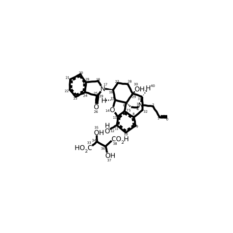 C=CCN1CC[C@]23c4c5ccc(O)c4O[C@H]2[C@@H](N2Cc4ccccc4C2=O)CC[C@@]3(O)[C@H]1C5.O=C(O)C(O)C(O)C(=O)O